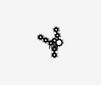 C=C1CCCCC/C(c2ccc(-c3ccccc3)cc2)=C2/CCCC/C2=C/1N(c1ccc(-c2ccccc2)cc1)c1ccc(-c2ccc(-c3ccccc3)cc2)cc1